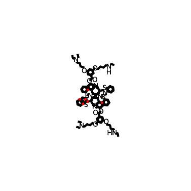 CCNCCCCOc1cc(OCCCCN(CC)CC)cc(C(=O)Oc2ccc(-c3c4/c(=C(\C#N)c5nc6ccccc6s5)n(B(c5ccccc5)c5ccccc5)c(-c5ccc(OC(=O)c6cc(OCCCCNCC)cc(OCCCCN(CC)CC)c6)cc5)c4/c(=C(\C#N)c4nc5ccccc5s4)n3B(C)c3ccccc3)cc2)c1